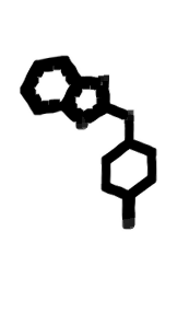 O=C1CCC(Sc2nc3ccccc3o2)CC1